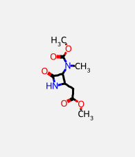 COC(=O)CC1NC(=O)C1N(C)C(=O)OC